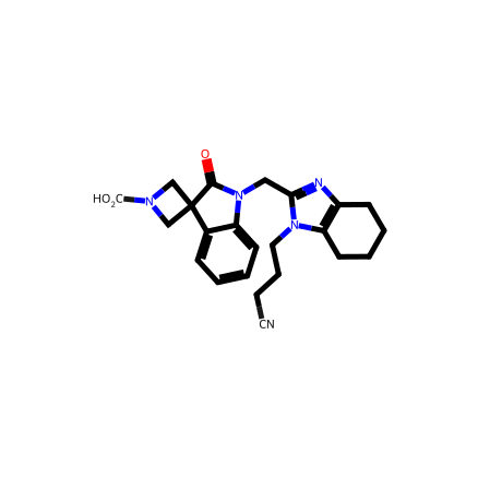 N#CCCCn1c(CN2C(=O)C3(CN(C(=O)O)C3)c3ccccc32)nc2c1CCCC2